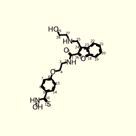 O=C(NCCOc1ccc(C(=S)NO)cc1)c1oc2ccccc2c1CNCCO